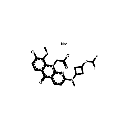 CSc1c(Cl)ccc2c(=O)c3ccc(N(C)C4CC(OC(F)F)C4)nc3n(CC(=O)[O-])c12.[Na+]